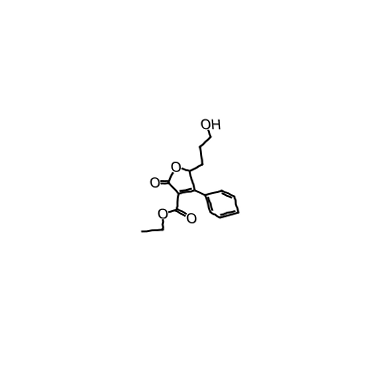 CCOC(=O)C1=C(c2ccccc2)C(CCCO)OC1=O